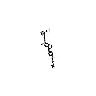 COc1cc2c(Oc3ccc(NC(=O)NCCC(C)(C)C)cc3)ccnc2cc1OCCCN1CCC[C@H]1CO